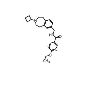 CCOc1ncc(C(=O)NCc2ccc3c(c2)CCN(C2CCC2)CC3)cn1